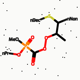 CCCCCCCCCCSC(CCCCCCCCC)C(C)OOC(=O)P(=O)(OC)OCCC